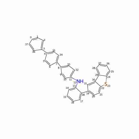 c1ccc(-c2ccc(-c3ccc(Nc4ccccc4-c4ccc5sc6ccccc6c5c4)cc3)cc2)cc1